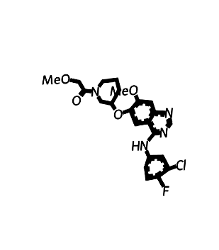 COCC(=O)N1CCCC(Oc2cc3c(Nc4ccc(F)c(Cl)c4)ncnc3cc2OC)C1